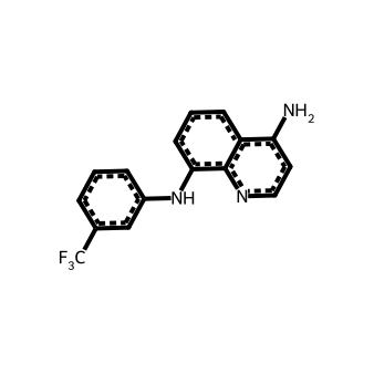 Nc1ccnc2c(Nc3cccc(C(F)(F)F)c3)cccc12